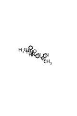 COc1ccccc1NC(=O)Nc1ccc(-c2cn(C)c3cnccc23)nc1